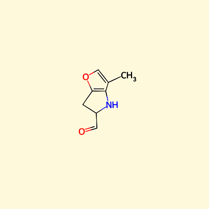 Cc1coc2c1NC(C=O)C2